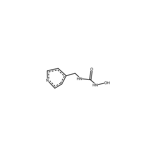 O=C(NO)NCc1ccncc1